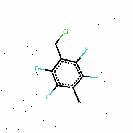 [CH2]c1c(F)c(F)c(CCl)c(F)c1F